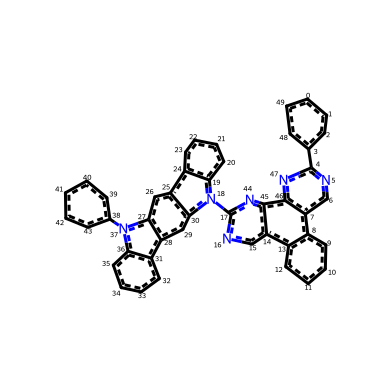 c1ccc(-c2ncc3c4ccccc4c4cnc(-n5c6ccccc6c6cc7c(cc65)c5ccccc5n7-c5ccccc5)nc4c3n2)cc1